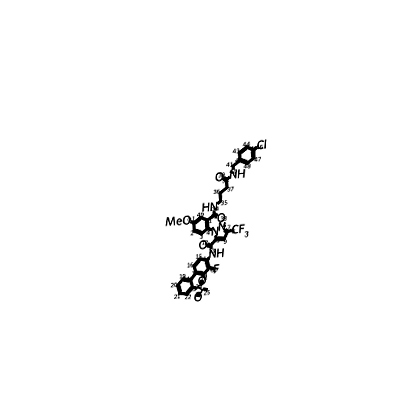 COc1ccc(-n2nc(C(F)(F)F)cc2C(=O)Nc2ccc(-c3ccccc3S(C)(=O)=O)cc2F)c(C(=O)NCCCC(=O)NCc2ccc(Cl)cc2)c1